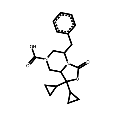 O=C(O)N1CC(Cc2ccccc2)N2C(=O)OC(C3CC3)(C3CC3)C2C1